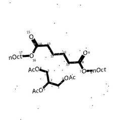 CC(=O)OCC(COC(C)=O)OC(C)=O.CCCCCCCCOC(=O)CCCCC(=O)OCCCCCCCC